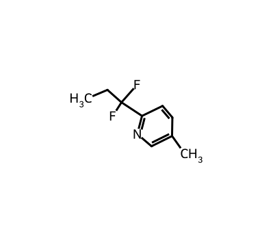 CCC(F)(F)c1ccc(C)cn1